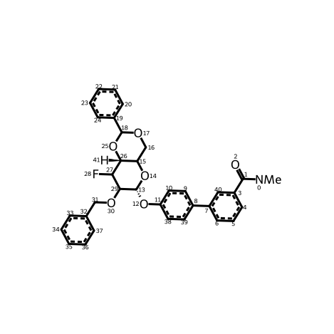 CNC(=O)c1cccc(-c2ccc(O[C@H]3OC4COC(c5ccccc5)O[C@H]4C(F)C3OCc3ccccc3)cc2)c1